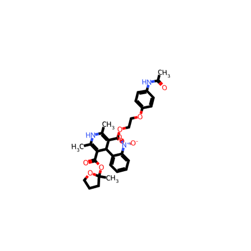 CC(=O)Nc1ccc(OCCOC(=O)C2=C(C)NC(C)=C(C(=O)OC3(C)CCCO3)C2c2ccccc2[N+](=O)[O-])cc1